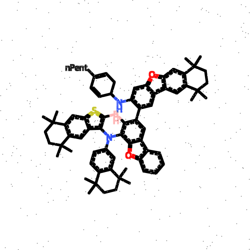 CCCCCC1=CCC(Nc2cc3oc4cc5c(cc4c3cc2-c2cc3c(oc4ccccc43)c3c2Bc2sc4cc6c(cc4c2N3c2ccc3c(c2)C(C)(C)CCC3(C)C)C(C)(C)CCC6(C)C)C(C)(C)CCC5(C)C)C=C1